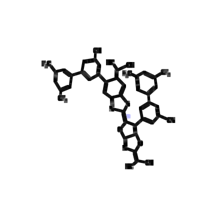 N#CC(C#N)=c1nc2o/c(=c3\nc4cc(-c5cc(C#N)cc(-c6cc(C(F)(F)F)cc(C(F)(F)F)c6)c5)c(=C(C#N)C#N)cc4s3)c(-c3cc(C#N)cc(-c4cc(C(F)(F)F)cc(C(F)(F)F)c4)c3)c2o1